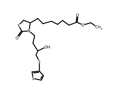 CCOC(=O)CCCCCCC1CSC(=O)N1CCC(O)CSc1ccsc1